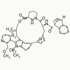 CCn1c(-c2cccnc2[C@H](C)OC)c2c3cc(ccc31)-c1csc(n1)C[C@H](NC(=O)[C@]13CC[C@H](O1)c1ccccc13)C(=O)N1CCC[C@H](N1)C(=O)OCC(C)(C)C2